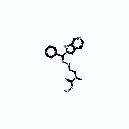 CN(CCO/N=C(/c1ccccc1)c1cc2ccncc2[nH]1)C(=O)OC(C)(C)C